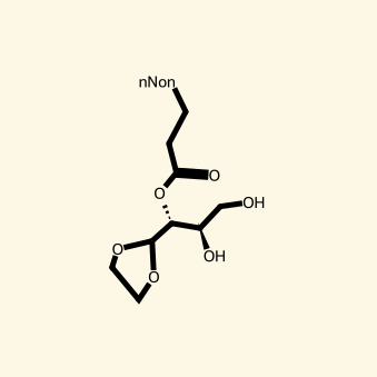 CCCCCCCCCCCC(=O)O[C@@H](C1OCCO1)[C@H](O)CO